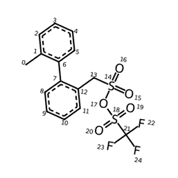 Cc1ccccc1-c1ccccc1CS(=O)(=O)OS(=O)(=O)C(F)(F)F